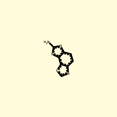 Nc1nc2c(ccc3ncsc32)o1